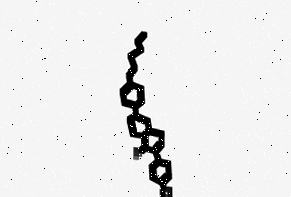 CCCCCCc1ccc(-c2ccc3c(F)c(-c4ccc(Cl)cc4)ccc3c2)cc1